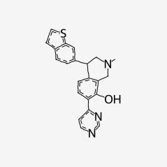 CN1Cc2c(ccc(-c3ccncn3)c2O)C(c2ccc3ccsc3c2)C1